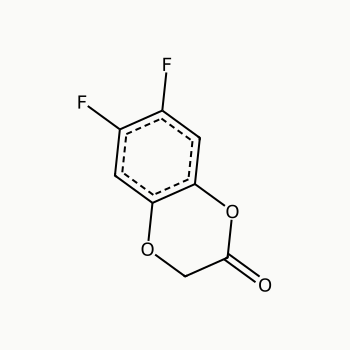 O=C1COc2cc(F)c(F)cc2O1